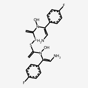 C=C(SSC(=C)N(O)/C(=C\N)c1ccc(F)cc1)N(O)/C(=C\N)c1ccc(F)cc1